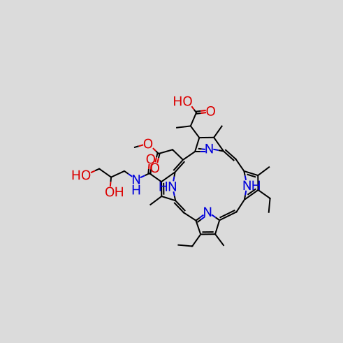 CCC1=C(C)c2cc3[nH]c(cc4nc(c(CC(=O)OC)c5[nH]c(cc1n2)c(C)c5C(=O)NCC(O)CO)C(C(C)C(=O)O)C4C)c(C)c3CC